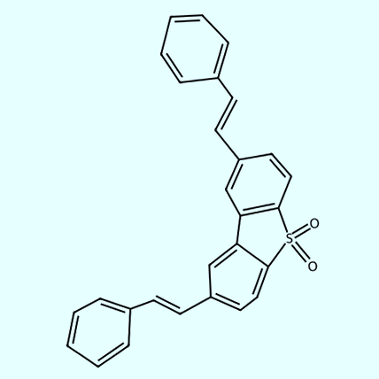 O=S1(=O)c2ccc(C=Cc3ccccc3)cc2-c2cc(C=Cc3ccccc3)ccc21